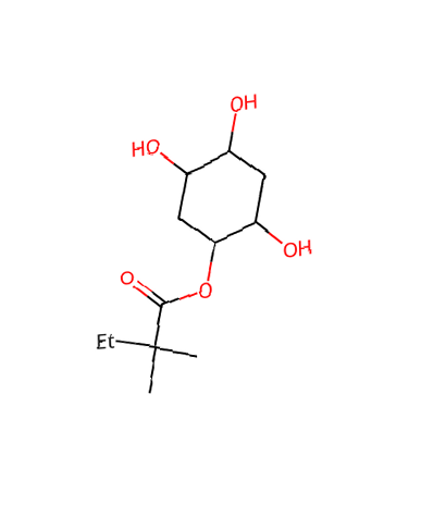 CCC(C)(C)C(=O)OC1CC(O)C(O)CC1O